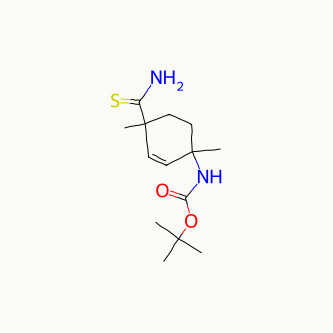 CC1(NC(=O)OC(C)(C)C)C=CC(C)(C(N)=S)CC1